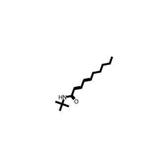 CCCCCC=CC=CC(=O)NC(C)(C)C